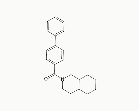 O=C(c1ccc(-c2ccccc2)cc1)N1CCC2CCCCC2C1